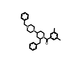 Cc1cc(C)cc(C(=O)N2CCC(N3CCN(Cc4ccccc4)CC3)CC2Cc2ccccc2)c1